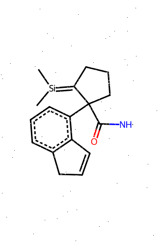 C[Si](C)=C1CCCC1(C([NH])=O)c1cccc2c1C=CC2